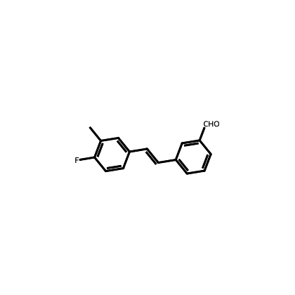 Cc1cc(/C=C/c2cccc(C=O)c2)ccc1F